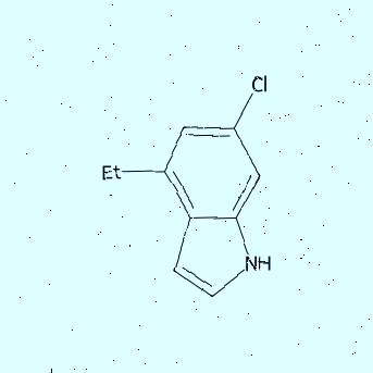 CCc1cc(Cl)cc2[nH]ccc12